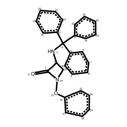 O=C1C(NC(c2ccccc2)(c2ccccc2)c2ccccc2)CN1Oc1ccccc1